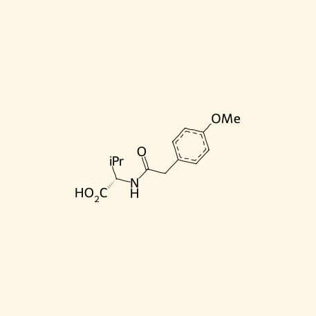 COc1ccc(CC(=O)N[C@H](C(=O)O)C(C)C)cc1